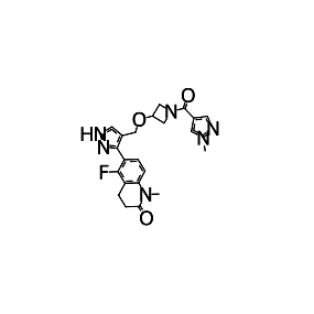 CN1C(=O)CCc2c1ccc(-c1n[nH]cc1COC1CN(C(=O)c3cnn(C)c3)C1)c2F